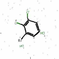 Cl.Cl.Clc1ccc[c]([Ru])c1Cl